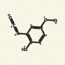 CCOc1ccc(O)c(N=C=O)c1